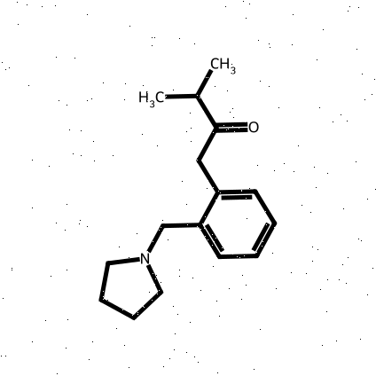 CC(C)C(=O)Cc1ccccc1CN1CCCC1